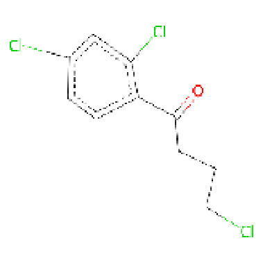 O=C(CCCCl)c1ccc(Cl)cc1Cl